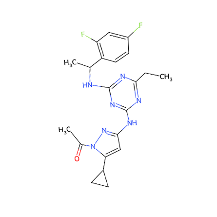 CCc1nc(Nc2cc(C3CC3)n(C(C)=O)n2)nc(NC(C)c2ccc(F)cc2F)n1